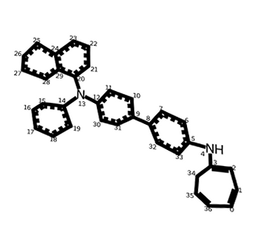 C1=CC=C(Nc2ccc(-c3ccc(N(c4ccccc4)c4cccc5ccccc45)cc3)cc2)CC=C1